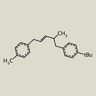 Cc1ccc(CC=CC(C)Cc2ccc(C(C)(C)C)cc2)cc1